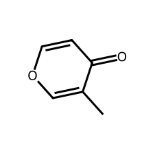 Cc1coccc1=O